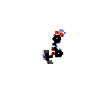 Cc1noc(C)c1COc1ccccc1C(=O)NCc1ccc(S(N)(=O)=O)cc1